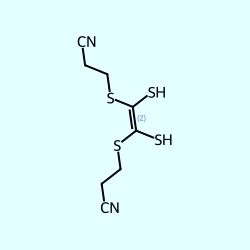 N#CCCS/C(S)=C(/S)SCCC#N